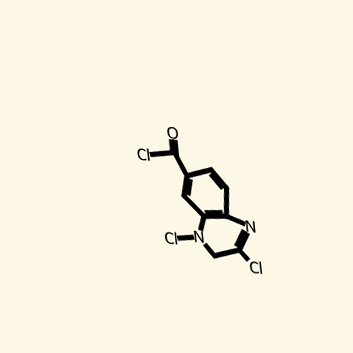 O=C(Cl)c1ccc2c(c1)N(Cl)CC(Cl)=N2